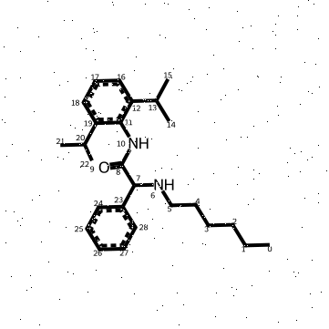 CCCCCCNC(C(=O)Nc1c(C(C)C)cccc1C(C)C)c1ccccc1